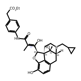 CCOC(=O)Cc1ccc(NC(=O)/C(C)=C(\O)[C@@H]2Oc3c(O)ccc4c3[C@@]23CCN(CC2CC2)[C@H](C4)[C@@]3(C)O)cc1